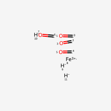 [C]=O.[C]=O.[C]=O.[C]=O.[Fe+3].[H-].[H-].[H-]